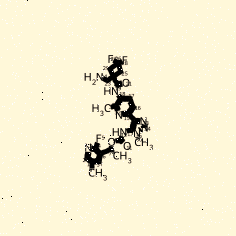 Cc1cnc(F)c([C@@H](C)OC(=O)Nc2c(-c3ccc(NC(=O)C4(CN)CC(F)(F)C4)c(C)n3)nnn2C)c1